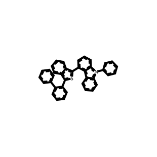 c1ccc(-c2ccccc2-c2sc(-c3cccc4c3c3ccccc3n4-c3ccccc3)c3ccccc23)cc1